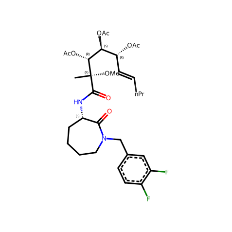 CCCC=C[C@@H](OC(C)=O)[C@H](OC(C)=O)[C@@H](OC(C)=O)[C@@](C)(OC)C(=O)N[C@H]1CCCCN(Cc2ccc(F)c(F)c2)C1=O